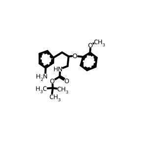 COc1ccccc1OC(CNC(=O)OC(C)(C)C)Cc1cccc(N)c1